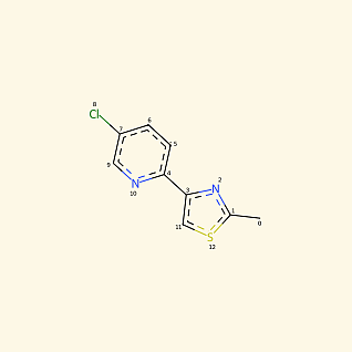 Cc1nc(-c2[c]cc(Cl)cn2)cs1